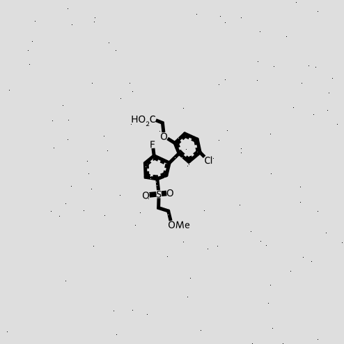 COCCS(=O)(=O)c1ccc(F)c(-c2cc(Cl)ccc2OCC(=O)O)c1